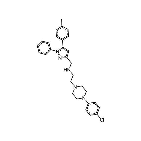 Cc1ccc(-c2cc(CNCCN3CCN(c4ccc(Cl)cc4)CC3)nn2-c2ccccc2)cc1